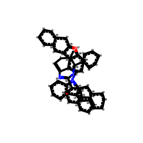 CC1C/C=C(c2c(-n3c4ccccc4c4cc5ccccc5cc43)ccc3oc4cc5ccccc5cc4c23)/N=C(c2ccc3ccccc3c2)\N=C/1c1ccccc1